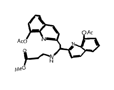 COC(=O)CCNC(c1ccc2cccc(OC(C)=O)c2n1)c1ccc2cccc(OC(C)=O)c2n1